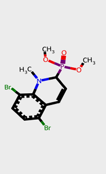 COP(=O)(OC)C1C=Cc2c(Br)ccc(Br)c2N1C